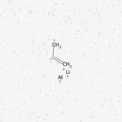 C=CC.[Al].[Li]